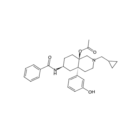 CC(=O)O[C@]12CC[C@H](NC(=O)c3ccccc3)C[C@]1(c1cccc(O)c1)CCN(CC1CC1)C2